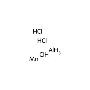 Cl.Cl.Cl.[AlH3].[Mn]